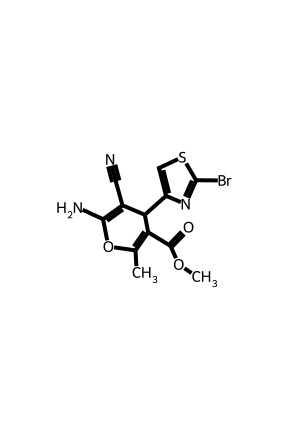 COC(=O)C1=C(C)OC(N)=C(C#N)C1c1csc(Br)n1